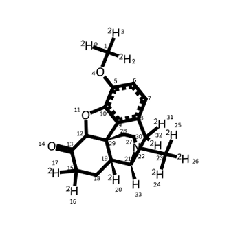 [2H]C([2H])([2H])Oc1ccc2c3c1OC1C(=O)C([2H])([2H])C[C@@]4([2H])[C@H](N(C([2H])([2H])[2H])CC[C@]314)C2([2H])[2H]